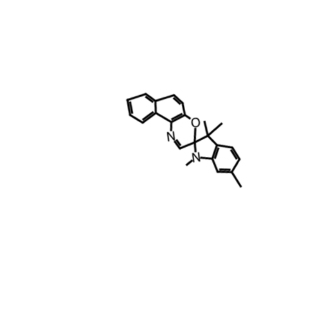 Cc1ccc2c(c1)N(C)C1(C=Nc3c(ccc4ccccc34)O1)C2(C)C